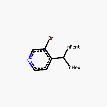 CCCCCCC(CCCCC)c1ccncc1Br